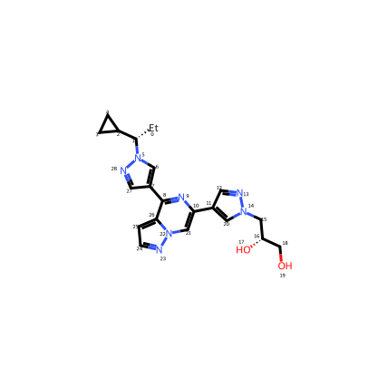 CC[C@@H](C1CC1)n1cc(-c2nc(-c3cnn(C[C@@H](O)CO)c3)cn3nccc23)cn1